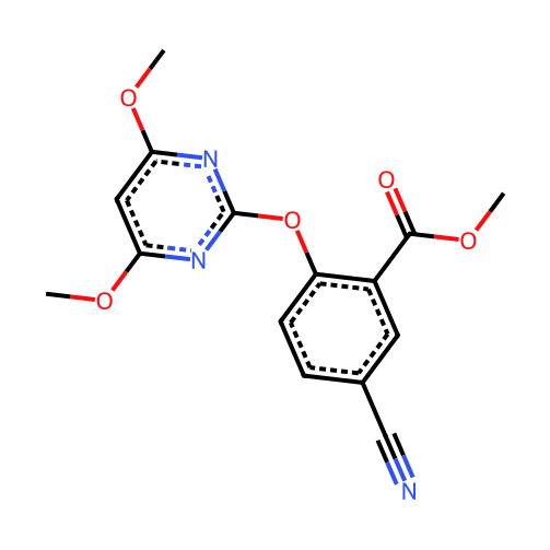 COC(=O)c1cc(C#N)ccc1Oc1nc(OC)cc(OC)n1